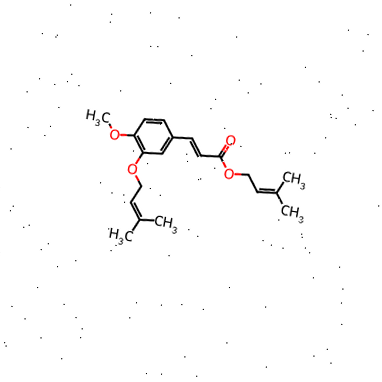 COc1ccc(C=CC(=O)OCC=C(C)C)cc1OCC=C(C)C